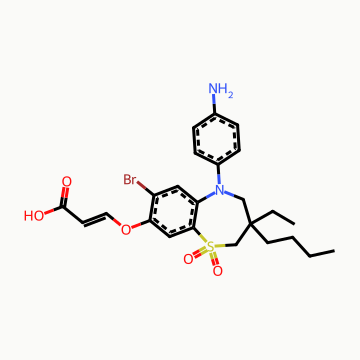 CCCCC1(CC)CN(c2ccc(N)cc2)c2cc(Br)c(O/C=C/C(=O)O)cc2S(=O)(=O)C1